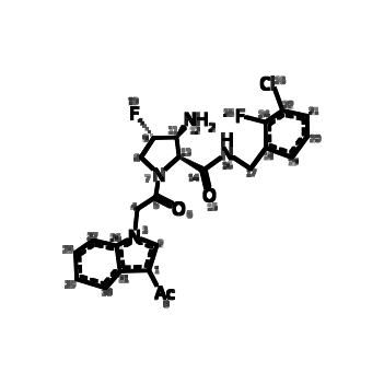 CC(=O)c1cn(CC(=O)N2C[C@H](F)[C@@H](N)[C@H]2C(=O)NCc2cccc(Cl)c2F)c2ccccc12